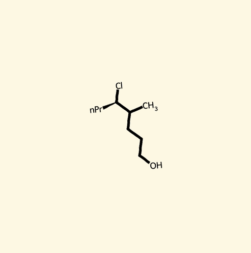 CCC[C@@H](Cl)C(C)CCCO